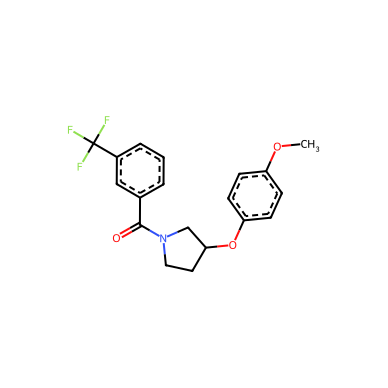 COc1ccc(OC2CCN(C(=O)c3cccc(C(F)(F)F)c3)C2)cc1